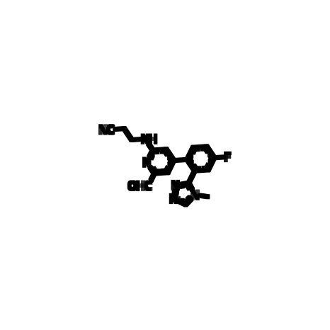 Cn1cnnc1-c1cc(F)ccc1-c1cc(C=O)nc(NCCC#N)c1